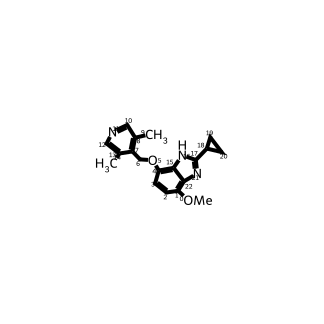 COc1ccc(OCc2c(C)cncc2C)c2[nH]c(C3CC3)nc12